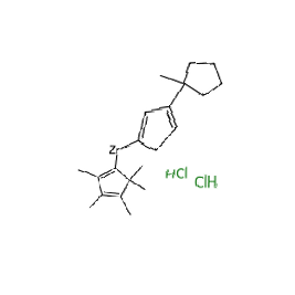 CC1=C(C)C(C)(C)[C]([Zr][C]2=CC(C3(C)CCCC3)=CC2)=C1C.Cl.Cl